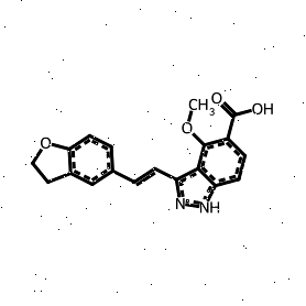 COc1c(C(=O)O)ccc2[nH]nc(/C=C/c3ccc4c(c3)CCO4)c12